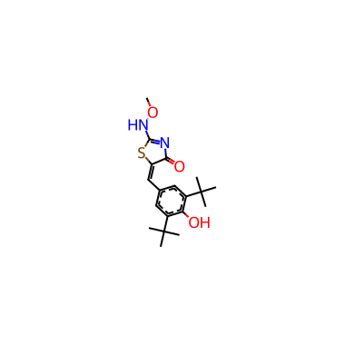 CONC1=NC(=O)/C(=C\c2cc(C(C)(C)C)c(O)c(C(C)(C)C)c2)S1